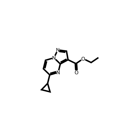 CCOC(=O)c1cnn2ccc(C3CC3)nc12